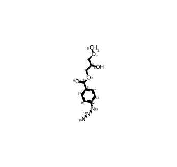 COCC(O)COC(=O)c1ccc(N=[N+]=[N-])cc1